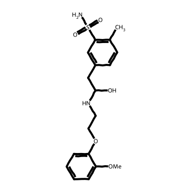 COc1ccccc1OCCNC(O)Cc1ccc(C)c(S(N)(=O)=O)c1